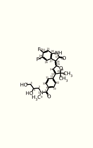 CN(CC(O)CO)C(=O)c1ccc(C2=CC(=C3C(=O)Nc4cc(F)c(F)cc43)OC2(C)C)cc1